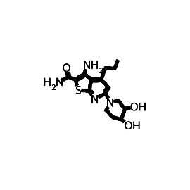 CCCc1cc(N2CCC(O)C(O)C2)nc2sc(C(N)=O)c(N)c12